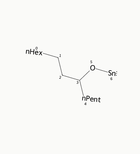 CCCCCCCCC(CCCCC)[O][Sn]